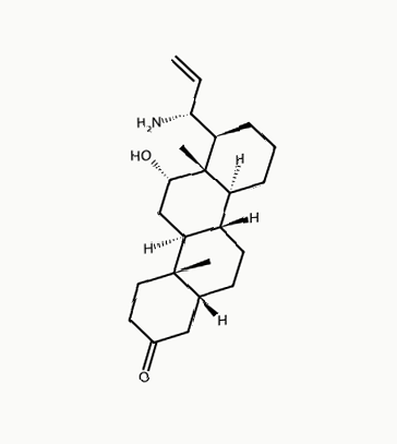 C=C[C@@H](N)[C@H]1CCC[C@H]2[C@@H]3CC[C@@H]4CC(=O)CC[C@]4(C)[C@H]3C[C@H](O)[C@]12C